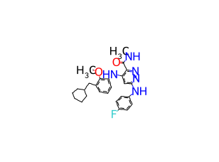 CNC(=O)c1nnc(Nc2ccc(F)cc2)cc1Nc1cccc(CC2CCCCC2)c1OC